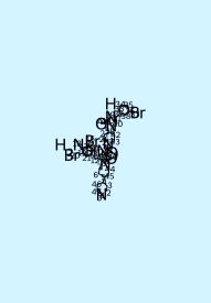 CN1CCC(C2CCN(C(=O)[C@@H](Cc3cc(Br)c(N)c(Br)c3)NC(=O)N3CCC(n4cc(-c5cccc(Br)c5)[nH]c4=O)CC3)CC2)CC1